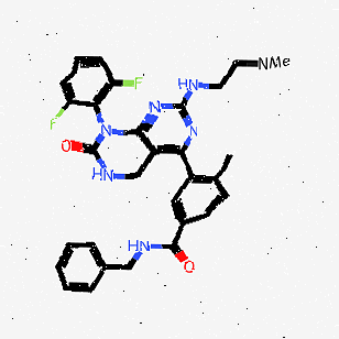 CNCCNc1nc(-c2cc(C(=O)NCc3ccccc3)ccc2C)c2c(n1)N(c1c(F)cccc1F)C(=O)NC2